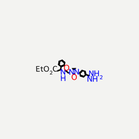 CCOC(=O)CC(NC(=O)Cn1ccn(-c2ccc(C(=N)N)cc2)c1=O)c1ccccc1